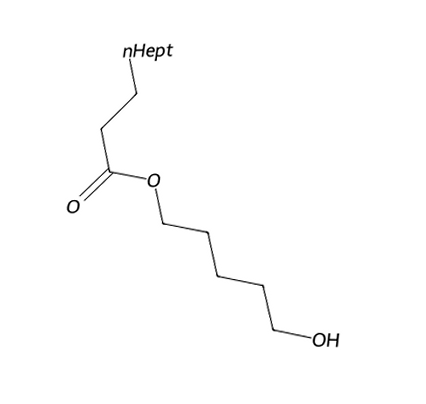 CCCCCCCCCC(=O)OCCCCCO